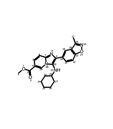 COC(=O)c1ccc2nc(-c3ccc4onc(C)c4c3)c(NC3CCCCC3)n2c1